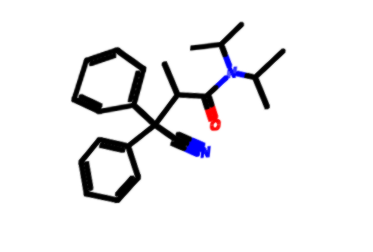 CC(C)N(C(=O)C(C)C(C#N)(c1ccccc1)c1ccccc1)C(C)C